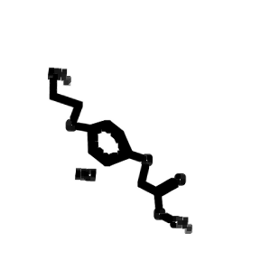 COC(=O)COc1ccc(OCCN)cc1.Cl